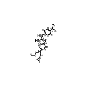 CCCN(CC1CC1)c1ccc2nc(Nc3ccc(C(C)=O)cc3)[nH]c2n1